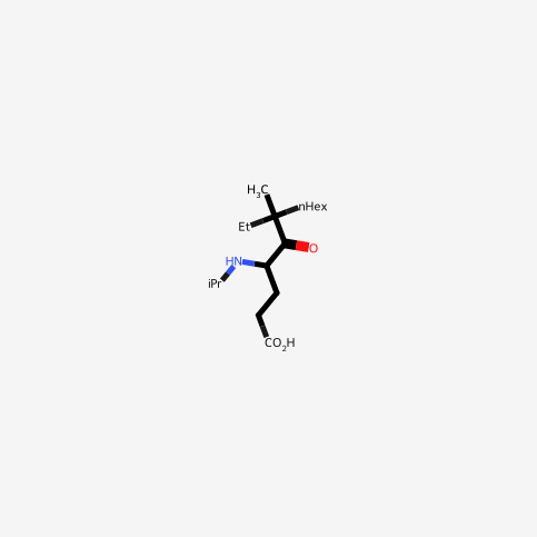 CCCCCCC(C)(CC)C(=O)C(CCC(=O)O)NC(C)C